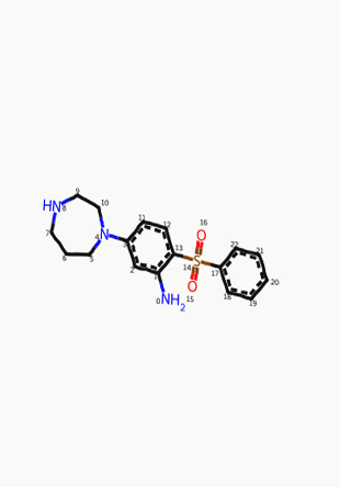 Nc1cc(N2CCCNCC2)ccc1S(=O)(=O)c1ccccc1